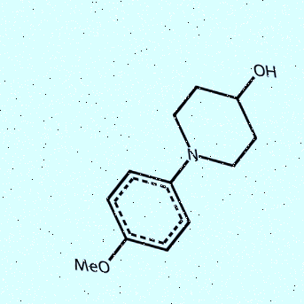 COc1ccc(N2CCC(O)CC2)cc1